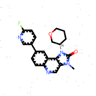 Cn1c(=O)n([C@H]2CCCOC2)c2c3cc(-c4ccc(F)nc4)ccc3ncc21